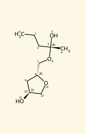 CCC[C@](C)(O)OC[C@H]1C[C@H](O)CO1